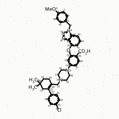 COc1ccc(Cn2nnc3c(Oc4cc(N5CCN(CC6=C(c7ccc(Cl)cc7)CC(C)(C)CC6)CC5)ccc4C(=O)O)cccc32)cc1